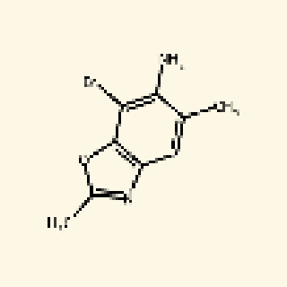 Cc1nc2cc(C)c(N)c(Br)c2o1